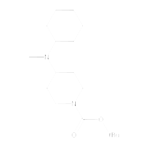 CN(C1CCCCC1)C1CCN(C(=O)OC(C)(C)C)CC1